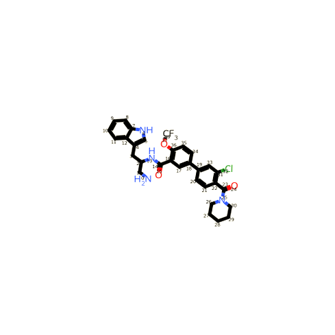 NCC(Cc1c[nH]c2ccccc12)NC(=O)c1cc(-c2ccc(C(=O)N3CCCCC3)c(Cl)c2)ccc1OC(F)(F)F